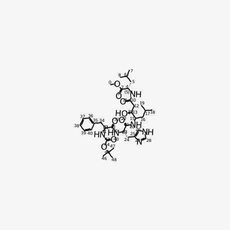 COC(=O)[C@H](CC(C)C)NC(=O)C[C@H](O)C(CC(C)C)NC(=O)[C@H](Cc1c[nH]cn1)NC(=O)[C@H](Cc1ccccc1)NC(=O)OC(C)(C)C